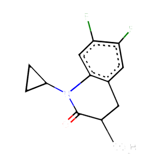 O=C(O)C1Cc2cc(F)c(F)cc2N(C2CC2)C1=O